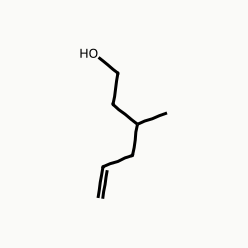 C=CCC(C)CCO